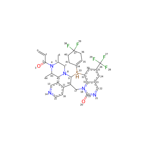 C=CC(=O)N1C(C)CN(C2C(c3ccncc3)Cn3c(=O)ncc4cc(C(F)(F)F)cc(c43)[SH]2C2=CCC(F)(F)CC2)CC1C